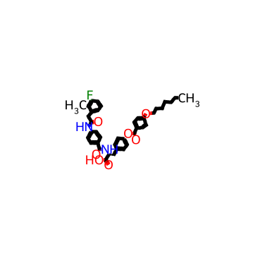 CCCCCCCOc1ccc(C(=O)Oc2ccc(C[C@H](NC(=O)c3ccc(NC(=O)Cc4cccc(F)c4C)cc3)C(=O)O)cc2)cc1